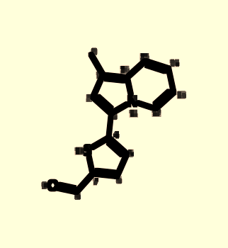 Cc1cc(-c2ccc(C=O)s2)n2ccccc12